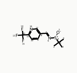 CC(C)(C)[S@@+]([O-])/N=C/c1ccc(C(F)(F)F)nc1